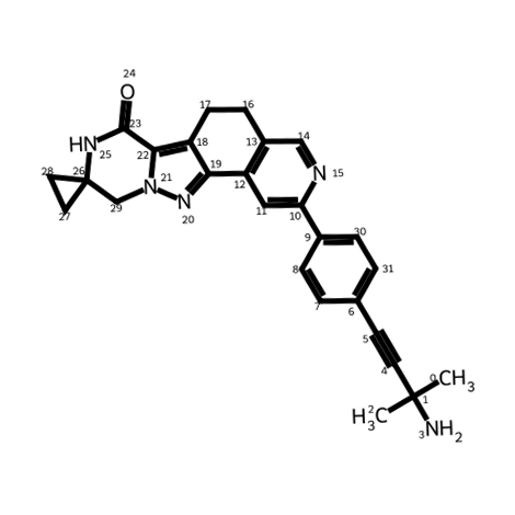 CC(C)(N)C#Cc1ccc(-c2cc3c(cn2)CCc2c-3nn3c2C(=O)NC2(CC2)C3)cc1